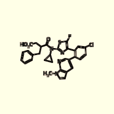 Cn1ccc2cc(-c3ccc(Cl)cc3-c3nc(N(C(=O)C(CC(=O)O)Cc4ccccc4)C4CC4)sc3F)cnc21